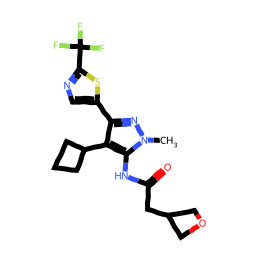 Cn1nc(-c2cnc(C(F)(F)F)s2)c(C2CCC2)c1NC(=O)CC1COC1